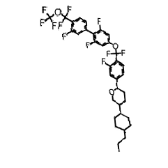 CCCC1CCC(C2CCC(c3ccc(C(F)(F)Oc4cc(F)c(-c5ccc(C(F)(F)OC(F)(F)F)c(F)c5)c(F)c4)c(F)c3)OC2)CC1